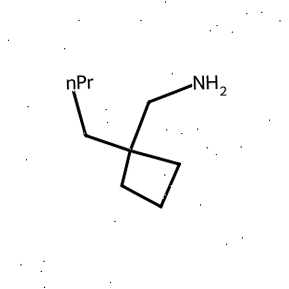 CCCCC1(CN)CCC1